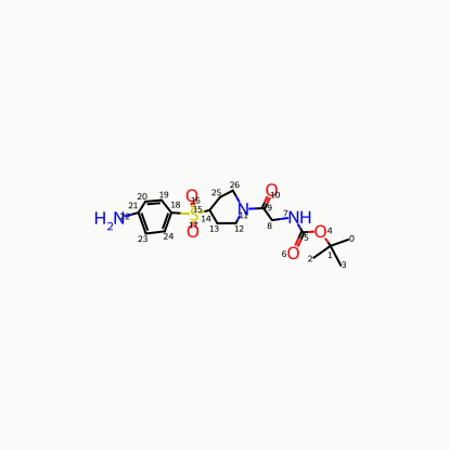 CC(C)(C)OC(=O)NCC(=O)N1CCC(S(=O)(=O)c2ccc(N)cc2)CC1